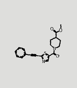 COC(=O)C1CCN(C(=O)c2cnc(C#Cc3ccccc3)s2)CC1